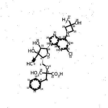 C#C[C@@]1(O)[C@@H](COC(Cc2ccccc2)(C(=O)O)C(=O)O)O[C@@H](n2cnc3c(N4CC(C)(O)C4)nc(Cl)nc32)[C@@H]1O